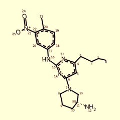 CCCCc1cc(N2CCC[C@@H](N)C2)nc(Nc2ccc(C)c([N+](=O)[O-])c2)n1